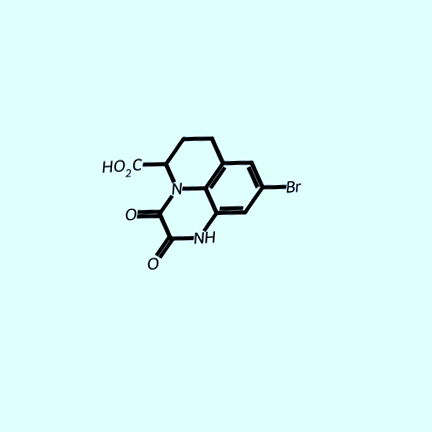 O=C(O)C1CCc2cc(Br)cc3[nH]c(=O)c(=O)n1c23